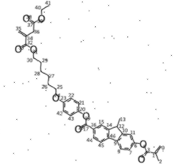 C=C(C)C(=O)Oc1ccc2c(c1)C(C)c1cc(C(=O)Oc3ccc(OCCCCCCOC(=O)C(=C)CC(=O)OCC)cc3)ccc1-2